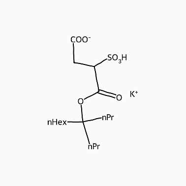 CCCCCCC(CCC)(CCC)OC(=O)C(CC(=O)[O-])S(=O)(=O)O.[K+]